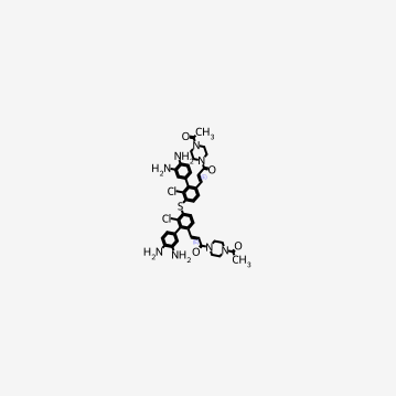 CC(=O)N1CCN(C(=O)/C=C/c2ccc(Sc3ccc(/C=C/C(=O)N4CCN(C(C)=O)CC4)c(-c4ccc(N)c(N)c4)c3Cl)c(Cl)c2-c2ccc(N)c(N)c2)CC1